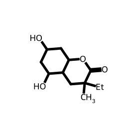 CCC1(C)CC2C(O)CC(O)CC2OC1=O